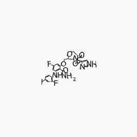 NC(=O)c1c(Nc2ccc(I)cc2F)cc(F)cc1OCC1CN(S(=O)(=O)c2c[nH]cn2)CCO1